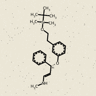 CNC=C[C@@H](Oc1cccc(CCO[Si](C)(C)C(C)(C)C)c1)c1ccccc1